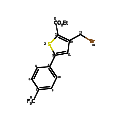 CCOC(=O)c1sc(-c2ccc(C(F)(F)F)cc2)cc1CBr